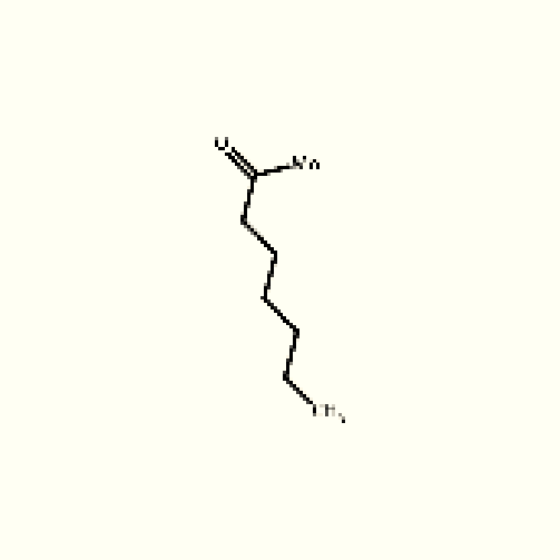 CCCCCC[C](=O)[Mo]